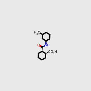 CC1CCCC(NC(=O)[C@@H]2CCCC[C@@H]2C(=O)O)C1